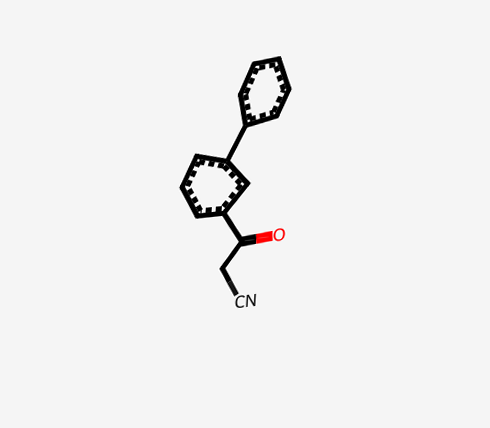 N#CCC(=O)c1cccc(-c2ccccc2)c1